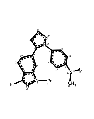 CCc1nn(C(C)C)c2cc(-c3ccnn3-c3ccc([S+](C)[O-])cc3)ccc12